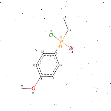 CC[PH](Cl)(Br)c1ccc(OC)cc1